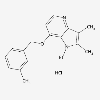 CCn1c(C)c(C)c2nccc(OCc3cccc(C)c3)c21.Cl